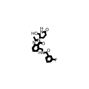 Cc1nc2cccc(CNC(=O)c3cccc(F)c3)c2c(=O)n1C1CCC(=O)NC1O